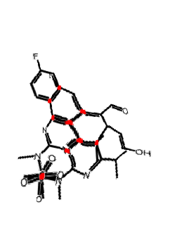 CC(C)c1nc(N(C)S(C)(=O)=O)nc(-c2ccc(F)cc2)c1/C=C(/C=O)C(C=CO)c1c(-c2ccc(F)cc2)nc(N(C)S(C)(=O)=O)nc1C(C)C